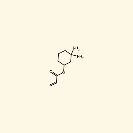 C=CC(=O)OC1CC[CH]C(N)(N)C1